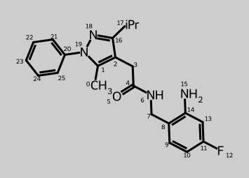 Cc1c(CC(=O)NCc2ccc(F)cc2N)c(C(C)C)nn1-c1ccccc1